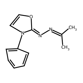 CC(C)=NN=c1occn1-c1ccccc1